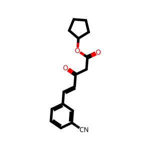 N#Cc1cccc(C=CC(=O)CC(=O)OC2CCCC2)c1